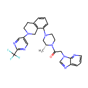 C[C@@H]1CN(c2cccc3c2CN(c2cnc(C(F)(F)F)nc2)CC3)CCN1C(=O)Cn1cnc2cccnc21